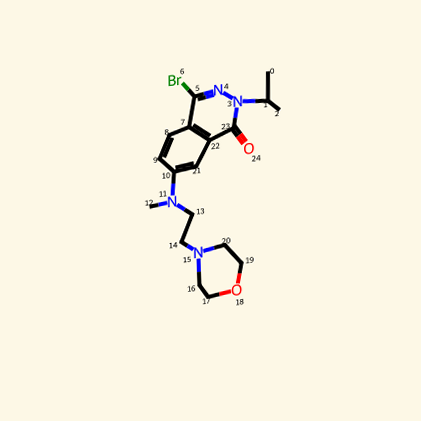 CC(C)n1nc(Br)c2ccc(N(C)CCN3CCOCC3)cc2c1=O